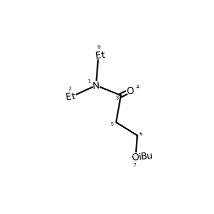 CCN(CC)C(=O)CCOCC(C)C